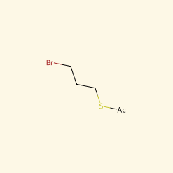 CC(=O)SCCCBr